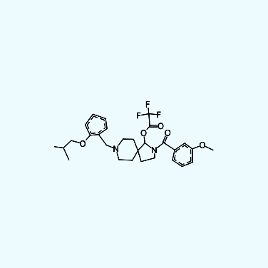 COc1cccc(C(=O)N2CCC3(CCN(Cc4ccccc4OCC(C)C)CC3)C2OC(=O)C(F)(F)F)c1